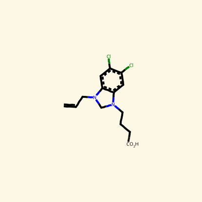 C=CCN1CN(CCCC(=O)O)c2cc(Cl)c(Cl)cc21